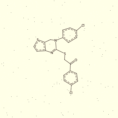 O=C(CSC1=Nc2ccsc2CN1c1ccc(Cl)cc1)c1ccc(Cl)cc1